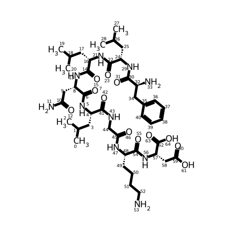 CC(C)C[C@H](NC(=O)[C@H](CC(N)=O)NC(=O)[C@H](CC(C)C)NC(=O)[C@H](CC(C)C)NC(=O)[C@@H](N)Cc1ccccc1)C(=O)NCC(=O)N[C@@H](CCCCN)C(=O)N[C@@H](CC(=O)O)C(=O)O